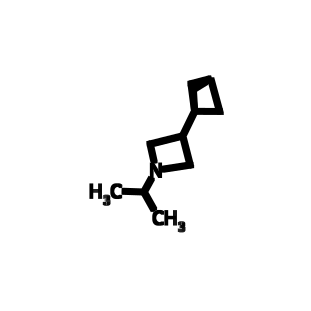 CC(C)N1CC(C23CC(C2)C3)C1